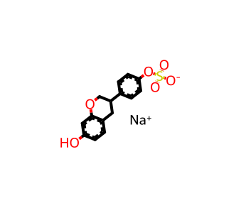 O=S(=O)([O-])Oc1ccc(C2COc3cc(O)ccc3C2)cc1.[Na+]